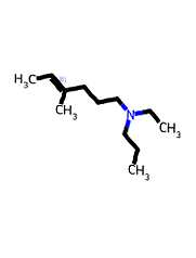 C/C=C(\C)CCCN(CC)CCC